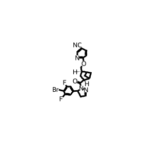 N#Cc1ccc(OC[C@@H]2C[C@H](C(=O)N3N=CCC3c3cc(F)c(Br)c(F)c3)C3CC2C3)nc1